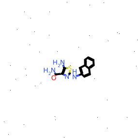 NC(=O)c1nc(Nc2ccc3ccccc3c2)sc1N